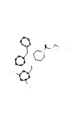 O=C(O)CNC(=O)N1CC[C@H](OCc2cc(C(F)(F)F)cc(C(F)(F)F)c2)[C@H](C(c2ccccc2)c2ccccc2)C1